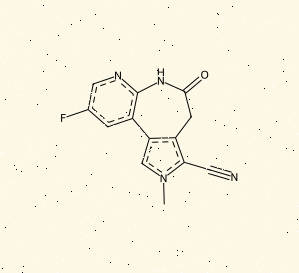 Cn1cc2c(c1C#N)CC(=O)Nc1ncc(F)cc1-2